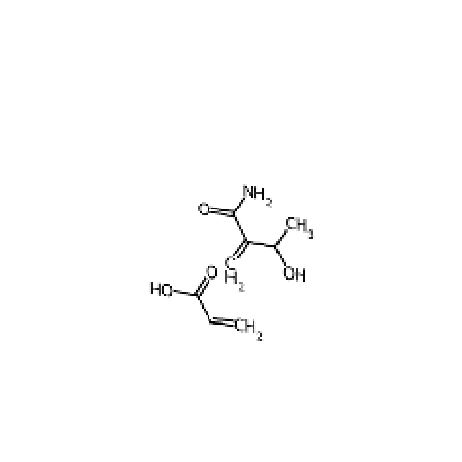 C=C(C(N)=O)C(C)O.C=CC(=O)O